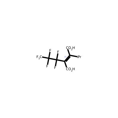 CC(C)/C(C(=O)O)=C(\C(=O)O)C(F)(F)C(F)(F)C(F)(F)F